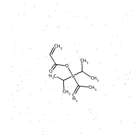 C=CC(=O)O[Si](C(=C)C)(C(C)C)C(C)C